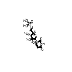 C[C@]1(O)[C@H](n2ccc(=O)[nH]c2=O)O[C@](F)(COP(=O)(O)O)[C@H]1O